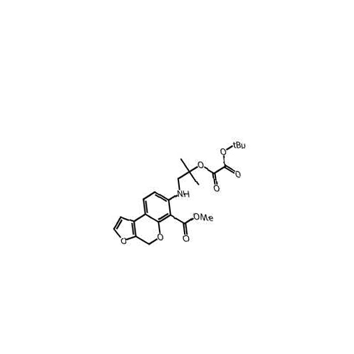 COC(=O)c1c(NCC(C)(C)OC(=O)C(=O)OC(C)(C)C)ccc2c1OCc1occc1-2